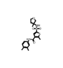 Cc1ccc(NC(=O)c2cc(S(=O)(=O)NC3(C)CCOC3)sc2C)cc1C